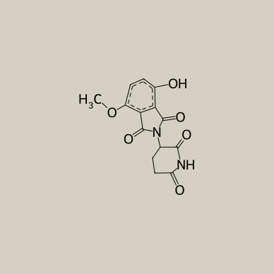 COc1ccc(O)c2c1C(=O)N(C1CCC(=O)NC1=O)C2=O